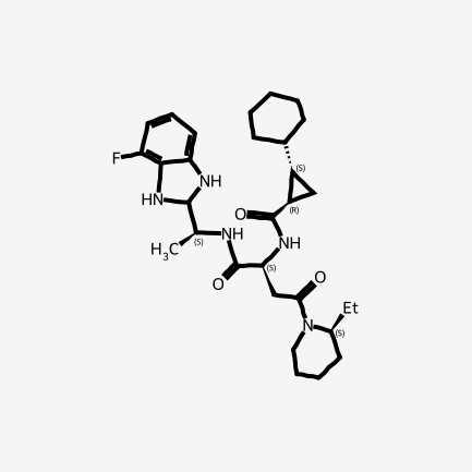 CC[C@H]1CCCCN1C(=O)C[C@H](NC(=O)[C@@H]1C[C@H]1C1CCCCC1)C(=O)N[C@@H](C)C1Nc2cccc(F)c2N1